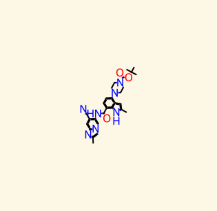 Cc1cn2cc(NC(=O)c3ccc(N4CCN(C(=O)OC(C)(C)C)CC4)c4cc(C)[nH]c34)c(C#N)cc2n1